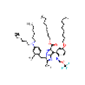 CCCCCCCCOC(=O)c1nn2/c(=C\c3ccc(N(CCCCCC)CCCCCC)cc3C)c(C)nc2c1-c1cc(OCCCCCCCC)ccc1/N=C\OC(F)(F)F